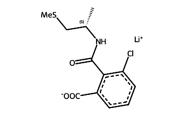 CSC[C@H](C)NC(=O)c1c(Cl)cccc1C(=O)[O-].[Li+]